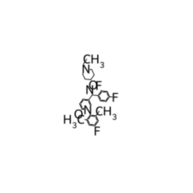 CCN1CCC(ON=C(c2ccc(=O)n(-c3c(C)cc(F)cc3C)c2)c2ccc(F)cc2F)CC1